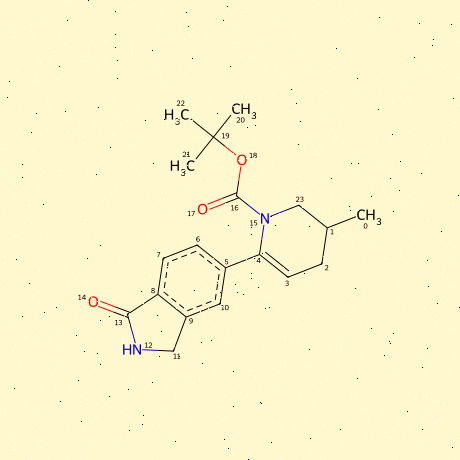 CC1CC=C(c2ccc3c(c2)CNC3=O)N(C(=O)OC(C)(C)C)C1